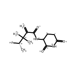 C=C(C(=O)NC1CCC(=O)NC1=O)C(C)(C)[C@H](C)F